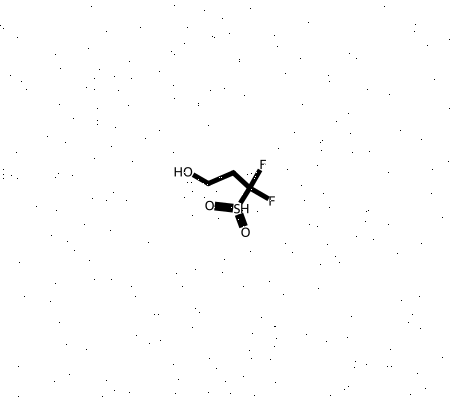 O=[SH](=O)C(F)(F)CCO